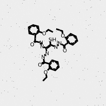 CCOc1ccccc1C(=O)N=NC([SiH3])=C(N=NC(=O)c1ccccc1OCC)N=NC(=O)c1ccccc1OCC